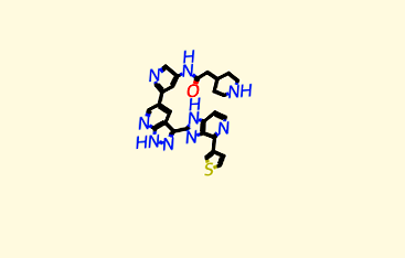 O=C(CC1CCNCC1)Nc1cncc(-c2cnc3[nH]nc(-c4nc5c(-c6ccsc6)nccc5[nH]4)c3c2)c1